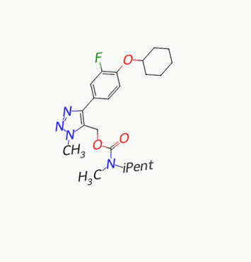 CCCC(C)N(C)C(=O)OCc1c(-c2ccc(OC3CCCCC3)c(F)c2)nnn1C